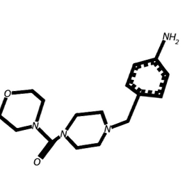 Nc1ccc(CN2CCN(C(=O)N3CCOCC3)CC2)cc1